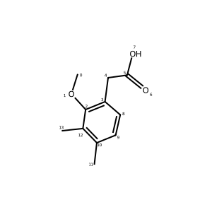 COc1c(CC(=O)O)ccc(C)c1C